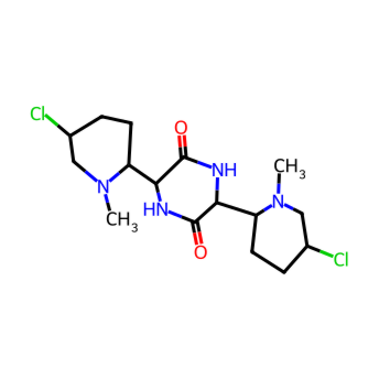 CN1CC(Cl)CCC1C1NC(=O)C(C2CCC(Cl)CN2C)NC1=O